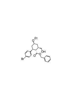 CCO[C@H]1C[C@@H](CO)[C@H](C(=O)OCc2ccccc2)[C@@H](c2ccc(Br)cc2)C1